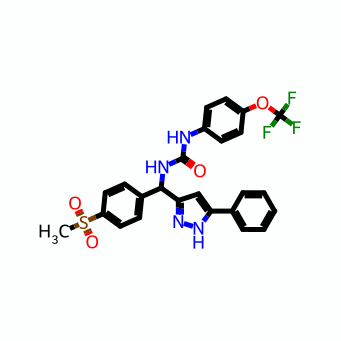 CS(=O)(=O)c1ccc(C(NC(=O)Nc2ccc(OC(F)(F)F)cc2)c2cc(-c3ccccc3)[nH]n2)cc1